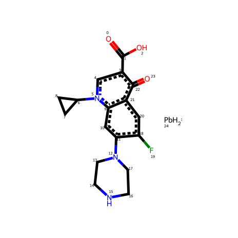 O=C(O)c1cn(C2CC2)c2cc(N3CCNCC3)c(F)cc2c1=O.[PbH2]